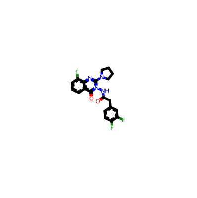 O=C(Cc1ccc(F)c(F)c1)Nn1c(N2CCCC2)nc2c(F)cccc2c1=O